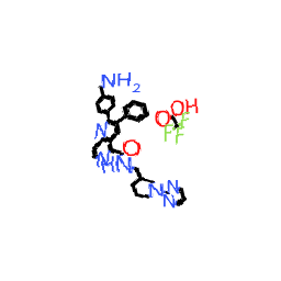 NCc1ccc(-c2nc3ccnc(C(=O)NCC4CCCN(c5ncccn5)C4)c3cc2-c2ccccc2)cc1.O=C(O)C(F)(F)F